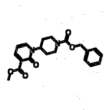 COC(=O)c1cccn(C2CCN(C(=O)OCc3ccccc3)CC2)c1=O